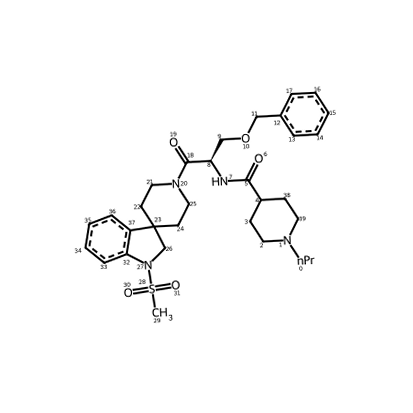 CCCN1CCC(C(=O)N[C@H](COCc2ccccc2)C(=O)N2CCC3(CC2)CN(S(C)(=O)=O)c2ccccc23)CC1